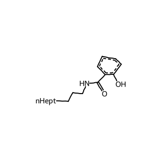 CCCCCCCCCCNC(=O)c1ccccc1O